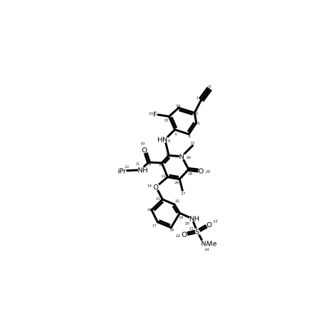 C#Cc1ccc(Nc2c(C(=O)NC(C)C)c(Oc3cccc(NS(=O)(=O)NC)c3)c(C)c(=O)n2C)c(F)c1